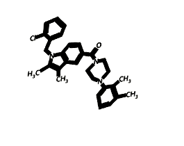 Cc1cccc(N2CCN(C(=O)c3ccc4c(c3)c(C)c(C)n4Cc3ccccc3Cl)CC2)c1C